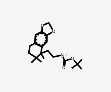 CC(C)(C)OC(=O)NCCC1(C)c2cc3c(cc2CCC1(C)C)OCO3